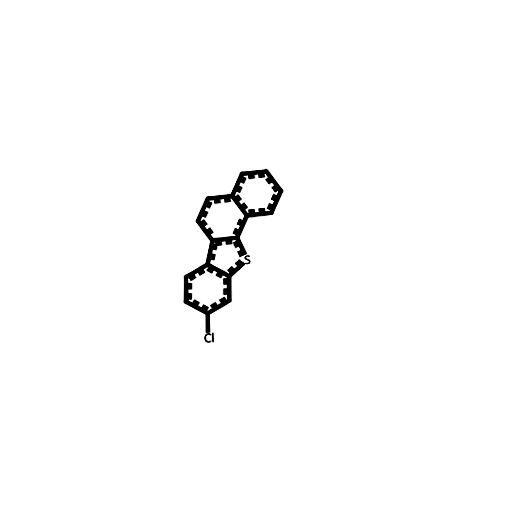 Clc1ccc2c(c1)sc1c3ccccc3ccc21